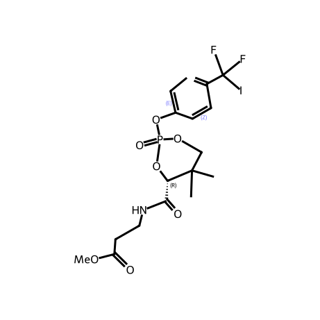 C=C(/C=C\C(=C/C)OP1(=O)OCC(C)(C)[C@H](C(=O)NCCC(=O)OC)O1)C(F)(F)I